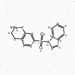 O=S(=O)(c1ccc2c(c1)CNCC2)n1ccc2ccccc21